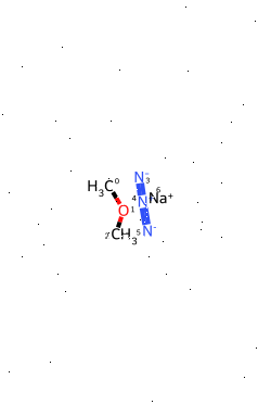 COC.[N-]=[N+]=[N-].[Na+]